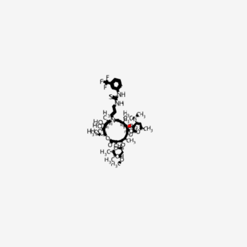 CC[C@H]1OC(=O)[C@H](C)[C@@H](O[C@@H](CCOC)O[C@@H](C)[C@@H](C)O)[C@H](C)[C@@H](O[C@@H]2O[C@H](C)C[C@H](N(C)C)[C@H]2O)[C@](C)(O)C[C@@H](C)CN(CCCNC(=S)Nc2cccc(C(F)(F)F)c2)[C@H](C)[C@@H](O)[C@]1(C)O